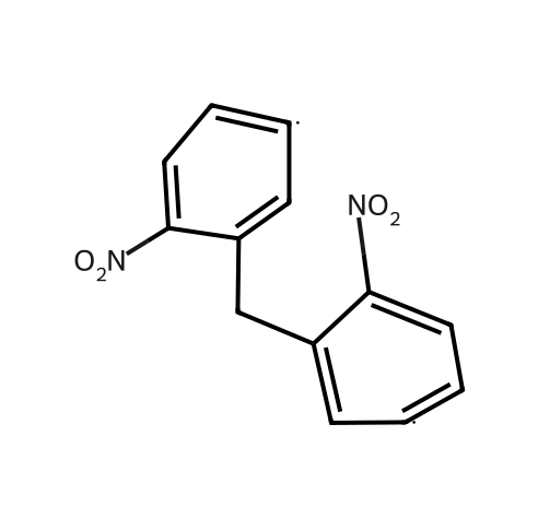 O=[N+]([O-])c1cc[c]cc1Cc1c[c]ccc1[N+](=O)[O-]